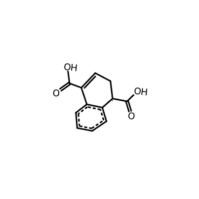 O=C(O)[C]1CC=C(C(=O)O)c2ccccc21